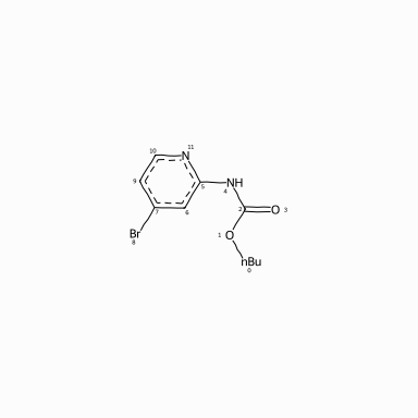 CCCCOC(=O)Nc1cc(Br)ccn1